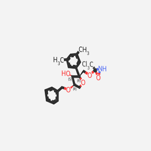 Cc1cc(C)cc([C@]2(COC3(C(Cl)(Cl)Cl)NO3)OC[C@@H](OCc3ccccc3)[C@@H]2O)c1